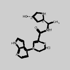 CC(NC(=O)C1=CN(c2ccnc3[nH]ccc23)CCS1)[C@H]1C[C@H](O)CN1.Cl